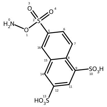 NOS(=O)(=O)c1ccc2c(S(=O)(=O)O)cc(S(=O)(=O)O)cc2c1